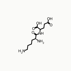 NCCCC[C@H](N)C(=O)NC(CCC(=O)O)C(=O)O